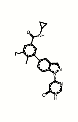 Cc1c(F)cc(C(=O)NC2CC2)cc1-c1ccc2c(cnn2-c2cc(=O)[nH]cn2)c1